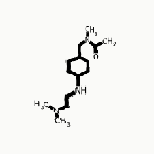 CC(=O)N(C)CC1CCC(NCCN(C)C)CC1